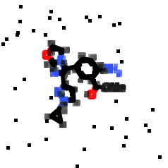 COC(=O)c1cc(-c2c(-c3ccn(C4CC4)n3)nc3occn23)ccc1N